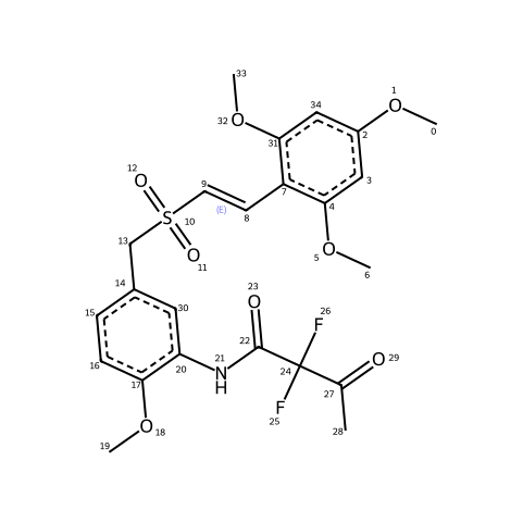 COc1cc(OC)c(/C=C/S(=O)(=O)Cc2ccc(OC)c(NC(=O)C(F)(F)C(C)=O)c2)c(OC)c1